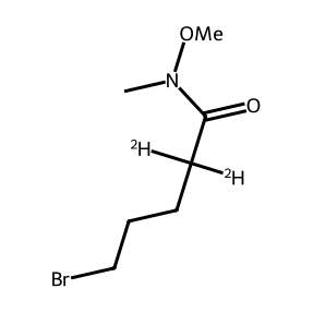 [2H]C([2H])(CCCBr)C(=O)N(C)OC